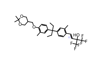 CCC(CC)(c1ccc(/C=C/C(O)(C(F)(F)F)C(F)(F)F)c(C)c1)c1ccc(OCC2COC(C)(C)OC2)c(C)c1